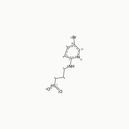 O=[SH](=O)CCCNc1ccc(Br)cn1